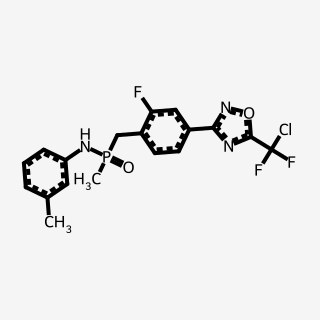 Cc1cccc(NP(C)(=O)Cc2ccc(-c3noc(C(F)(F)Cl)n3)cc2F)c1